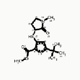 COC(=O)c1sc(C(C)(C)C)cc1N[C@H]1CCN(C)C1=O